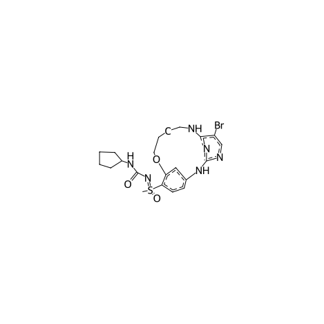 CS(=O)(=NC(=O)NC1CCCC1)c1ccc2cc1OCCCCNc1nc(ncc1Br)N2